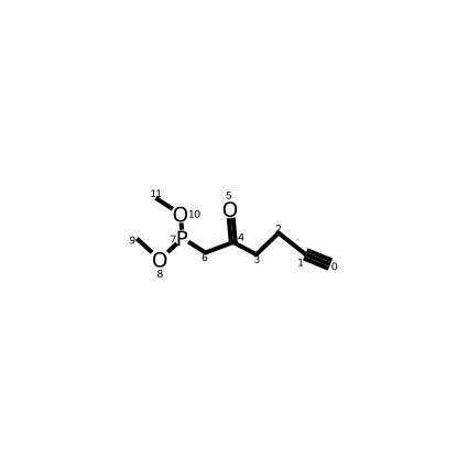 C#CCCC(=O)CP(OC)OC